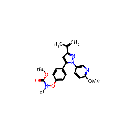 C=C(C)c1cc(-c2ccc(ON(CC)C(=O)OC(C)(C)C)cc2)n(-c2ccc(OC)nc2)n1